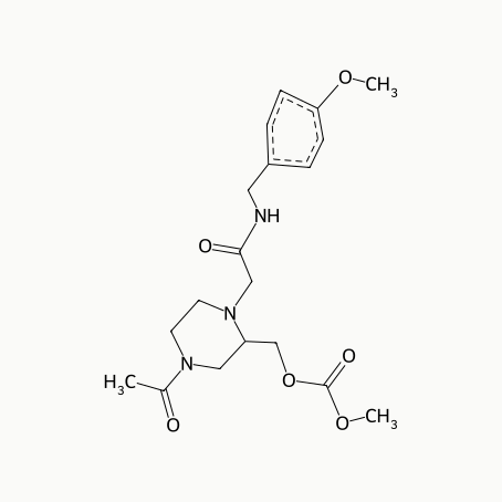 COC(=O)OCC1CN(C(C)=O)CCN1CC(=O)NCc1ccc(OC)cc1